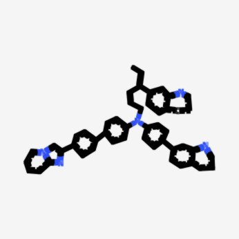 C/C=C(\C=C/CN(c1ccc(-c2ccc(-c3cn4ccccc4n3)cc2)cc1)c1ccc(-c2ccc3cccnc3c2)cc1)c1ccc2cccnc2c1